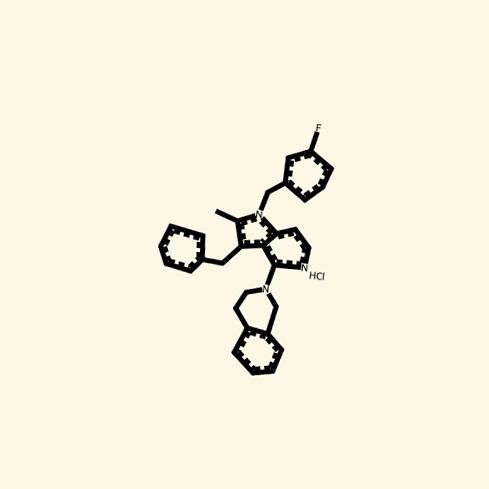 Cc1c(Cc2ccccc2)c2c(N3CCc4ccccc4C3)nccc2n1Cc1cccc(F)c1.Cl